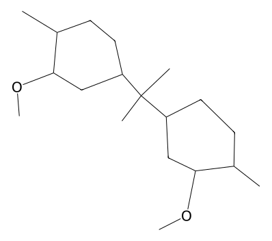 COC1CC(C(C)(C)C2CCC(C)C(OC)C2)CCC1C